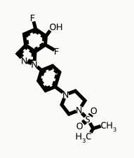 CC(C)S(=O)(=O)N1CCN(c2ccc(-n3ncc4cc(F)c(O)c(F)c43)cc2)CC1